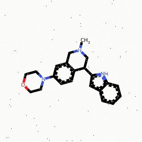 CN1Cc2cc(N3CCOCC3)ccc2C(c2cc3ccccc3[nH]2)C1